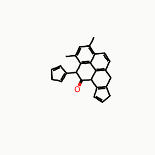 Cc1cc(C)c2ccc3c4c2c1C(C1=CCC=C1)C(=O)C4C1=C(CC=C1)C3